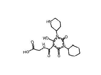 O=C(O)CNC(=O)c1c(O)n(C2CCCNC2)c(=O)n(C2CCCCC2)c1=O